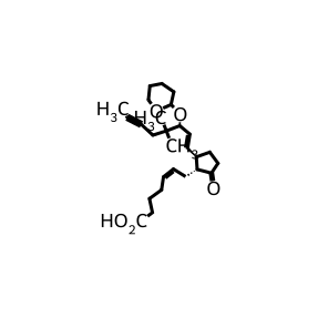 CC#CCC(C)(C)[C@@H](/C=C/[C@H]1CCC(=O)[C@@H]1C/C=C\CCCC(=O)O)OC1CCCCO1